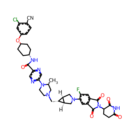 C[C@H]1CN(C[C@@H]2[C@H]3CN(c4cc5c(cc4F)C(=O)N(C4CCC(=O)NC4=O)C5=O)C[C@@H]23)CCN1c1cnc(C(=O)N[C@H]2CC[C@H](Oc3ccc(C#N)c(Cl)c3)CC2)cn1